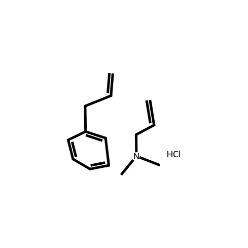 C=CCN(C)C.C=CCc1ccccc1.Cl